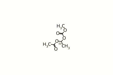 COC(=O)O[C@@H](C)OC(C)=O